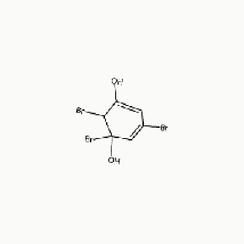 OC1=CC(Br)=CC(O)(Br)C1Br